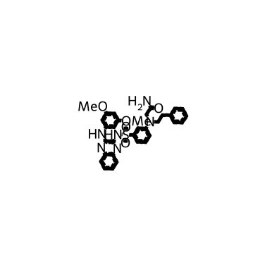 COc1cc(Nc2nc3ccccc3nc2NS(=O)(=O)c2cccc(N(CCc3ccccc3)CC(N)=O)c2)cc(OC)c1